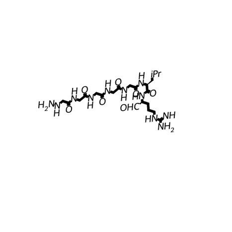 CC(C)C[C@H](NC(=O)CNC(=O)CNC(=O)CNC(=O)CNC(=O)CNN)C(=O)N[C@H](C=O)CCCNC(=N)N